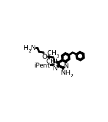 CCCC(C)c1nc2c(N)nc3cc(Cc4ccccc4)ccc3c2n1CC(C)(C)OCCCN